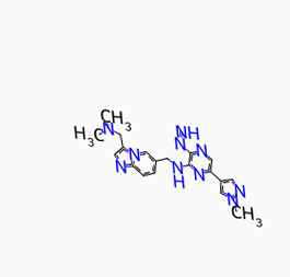 CN(C)Cc1cnc2ccc(CNc3nc(-c4cnn(C)c4)cnc3N=N)cn12